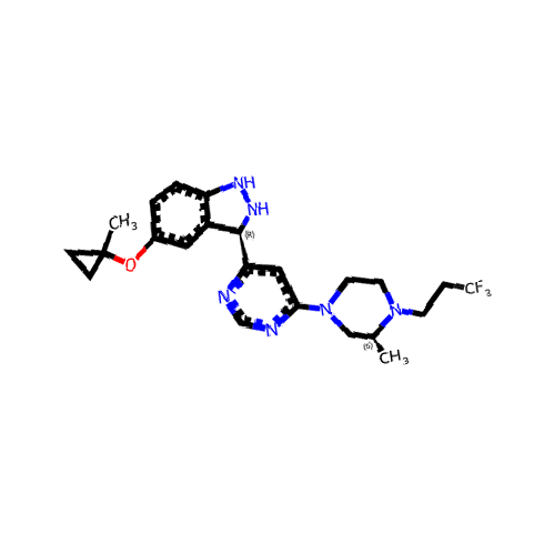 C[C@H]1CN(c2cc([C@@H]3NNc4ccc(OC5(C)CC5)cc43)ncn2)CCN1CCC(F)(F)F